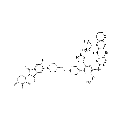 COc1cc(N2CCN(CCC3CCN(c4cc5c(cc4F)C(=O)N(C4CCC(=O)NC4=O)C5=O)CC3)CC2)c(-c2cnn(C)c2)cc1Nc1ncc(Br)c(Nc2ccc3c(c2P(C)C)OCCO3)n1